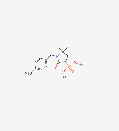 CCOP(=O)(OCC)C1CC(C)(C)N(Cc2ccc(OC)cc2)C1=O